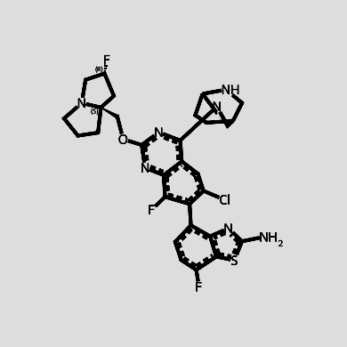 Nc1nc2c(-c3c(Cl)cc4c(N5CC6CCC(C5)NC6)nc(OC[C@@]56CCCN5C[C@H](F)C6)nc4c3F)ccc(F)c2s1